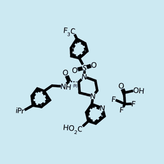 CC(C)c1ccc(CNC(=O)[C@H]2CN(c3cc(C(=O)O)ccn3)CCN2S(=O)(=O)c2ccc(C(F)(F)F)cc2)cc1.O=C(O)C(F)(F)F